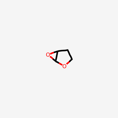 C1CC2OC2O1